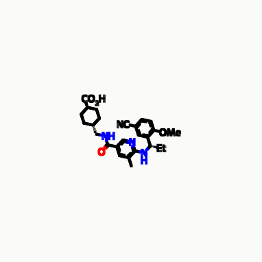 CC[C@H](Nc1ncc(C(=O)NC[C@H]2CC[C@H](C(=O)O)CC2)cc1C)c1cc(C#N)ccc1OC